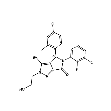 Cc1cc(Cl)ccc1[C@@H]1c2c(nn(CCO)c2C(C)C)C(=O)N1c1cccc(Cl)c1F